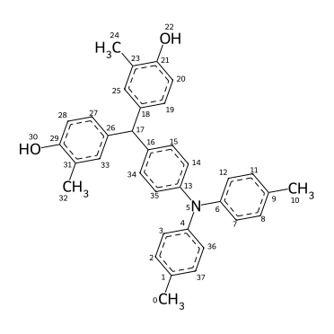 Cc1ccc(N(c2ccc(C)cc2)c2ccc(C(c3ccc(O)c(C)c3)c3ccc(O)c(C)c3)cc2)cc1